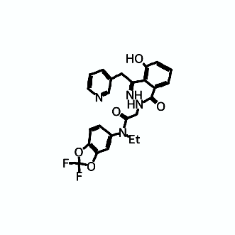 CCN(C(=O)CNC(=O)c1cccc(O)c1C(=N)Cc1cccnc1)c1ccc2c(c1)OC(F)(F)O2